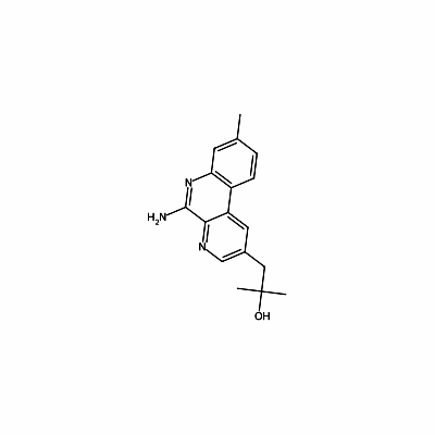 Cc1ccc2c(c1)nc(N)c1ncc(CC(C)(C)O)cc12